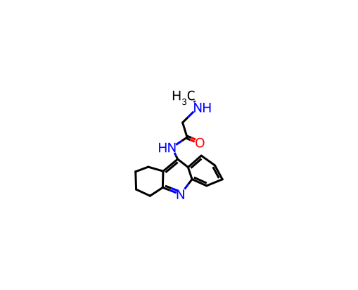 CNCC(=O)Nc1c2c(nc3ccccc13)CCCC2